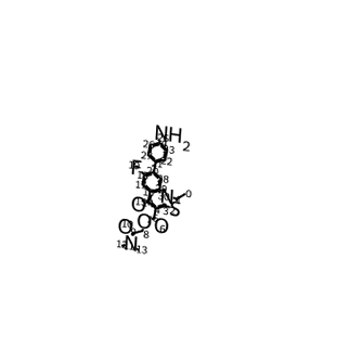 CC1Sc2c(C(=O)OCC(=O)N(C)C)c(=O)c3cc(F)c(-c4ccc(N)cc4)cc3n21